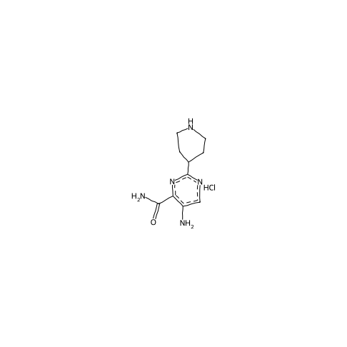 Cl.NC(=O)c1nc(C2CCNCC2)ncc1N